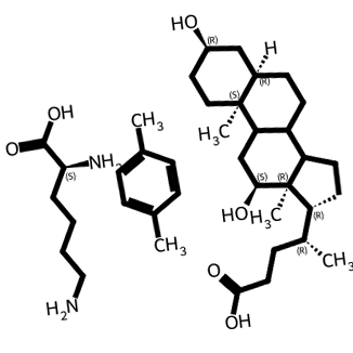 C[C@H](CCC(=O)O)[C@H]1CCC2C3CC[C@@H]4C[C@H](O)CC[C@]4(C)C3C[C@H](O)[C@@]21C.Cc1ccc(C)cc1.NCCCC[C@H](N)C(=O)O